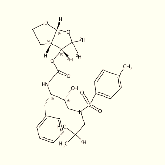 [2H]C(C)(C)CN(C[C@@H](O)[C@H](Cc1ccccc1)NC(=O)O[C@]1([2H])[C@@H]2CCO[C@@H]2OC1([2H])[2H])S(=O)(=O)c1ccc(C)cc1